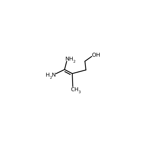 CC(CCO)=C(N)N